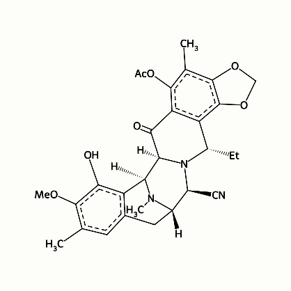 CC[C@H]1c2c3c(c(C)c(OC(C)=O)c2C(=O)[C@@H]2[C@@H]4c5c(cc(C)c(OC)c5O)C[C@@H]([C@H](C#N)N21)N4C)OCO3